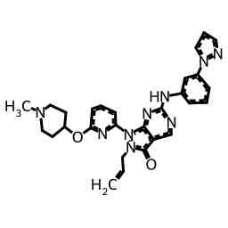 C=CCn1c(=O)c2cnc(Nc3cccc(-n4cccn4)c3)nc2n1-c1cccc(OC2CCN(C)CC2)n1